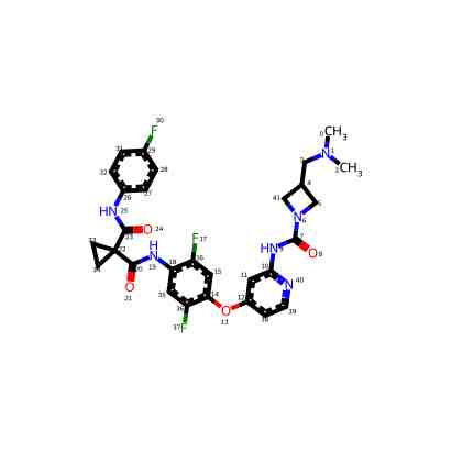 CN(C)CC1CN(C(=O)Nc2cc(Oc3cc(F)c(NC(=O)C4(C(=O)Nc5ccc(F)cc5)CC4)cc3F)ccn2)C1